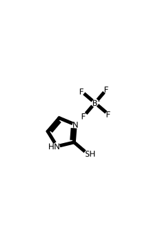 F[B-](F)(F)F.Sc1ncc[nH]1